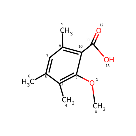 COc1c(C)c(C)cc(C)c1C(=O)O